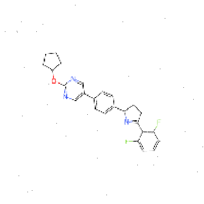 Fc1cccc(F)c1C1=NC(c2ccc(-c3cnc(OC4CCCC4)nc3)cc2)CC1